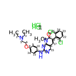 CCN(CC)CCOc1ccc(Nc2ncc3cc(-c4c(Cl)cccc4Cl)c(=O)n(C)c3n2)cc1.Cl.Cl